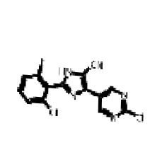 N#Cc1[nH]c(-c2c(F)cccc2Cl)nc1-c1cnc(Cl)nc1